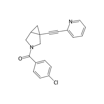 O=C(c1ccc(Cl)cc1)N1CC2CC2(C#Cc2ccccn2)C1